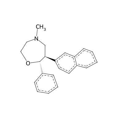 CN1CCO[C@@H](c2ccccc2)[C@H](c2ccc3ccccc3c2)C1